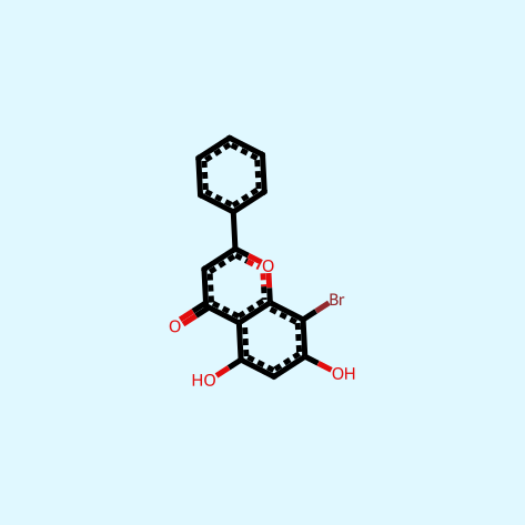 O=c1cc(-c2ccccc2)oc2c(Br)c(O)cc(O)c12